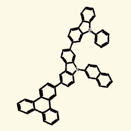 c1ccc(-n2c3ccccc3c3ccc(-c4ccc5c6cc(-c7ccc8c9ccccc9c9ccccc9c8c7)ccc6n(-c6ccc7ccccc7c6)c5c4)cc32)cc1